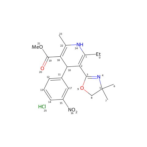 CCC1=C(C2=NC(C)(C)CO2)C(c2cccc([N+](=O)[O-])c2)C(C(=O)OC)=C(C)N1.Cl